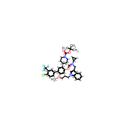 COCCCn1cc(CN(C(=O)[C@H]2CN(C(=O)OC(C)(C)C)CC[C@@H]2c2cccc(-c3ccc(Cl)c(C(F)(F)F)c3)c2)C2CC2)c2ccccc21